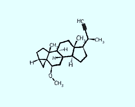 C#C[C@@H](C)[C@H]1CC[C@H]2[C@@H]3C[C@@H](OC)[C@]45C[C@@H]4CC[C@]5(C)[C@H]3CC[C@]12C